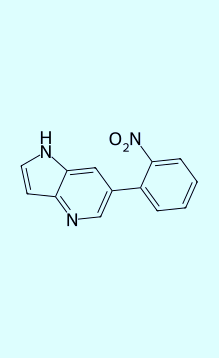 O=[N+]([O-])c1ccccc1-c1cnc2cc[nH]c2c1